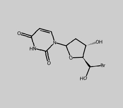 O=c1ccn(C2C[C@H](O)[C@@H](C(O)Br)O2)c(=O)[nH]1